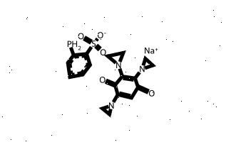 O=C1C=C(N2CC2)C(=O)C(N2CC2)=C1N1CC1.O=S(=O)([O-])c1ccccc1P.[Na+]